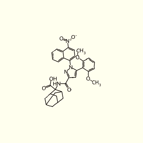 COc1cccc(OC)c1-c1cc(C(=O)NC2(C(=O)O)C3CC4CC(C3)CC2C4)nn1-c1ccc([N+](=O)[O-])c2ccccc12